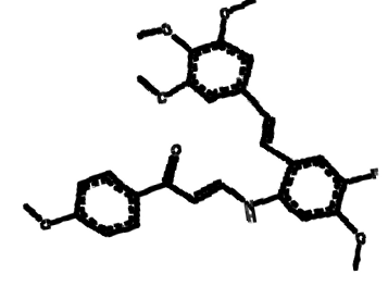 COc1ccc(C(=O)C=CNc2cc(OC)c(F)cc2C=Cc2cc(OC)c(OC)c(OC)c2)cc1